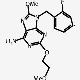 COCCOc1nc(N)c2nc(OC)n(Cc3cc[c]cc3F)c2n1